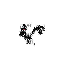 CCC(C)[C@@H]([C@@H](CC(=O)N1CCC[C@H]1[C@H](OC)[C@@H](C)C(=O)N[C@H](C)[C@@H](O)c1ccccc1)OC)N(C)C(=O)[C@@H](NC(=O)[C@H](C(C)C)N(C)C(=O)OCc1ccc(NC(=O)[C@H](CCCNC(N)=O)NC(=O)[C@@H](NC(=O)COCCOCCOCCOc2ccc(N3C(=O)C(Sc4ccc(C(=O)N5CCOCC5)cc4)=C(Sc4ccc(C(=O)N5CCOCC5)cc4)C3=O)cn2)C(C)C)cc1)C(C)C